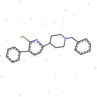 Sc1nc(C2CCN(Cc3ccccc3)CC2)ccc1-c1ccccc1